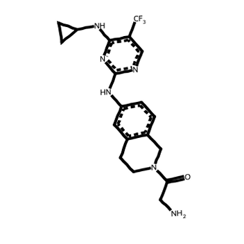 NCC(=O)N1CCc2cc(Nc3ncc(C(F)(F)F)c(NC4CC4)n3)ccc2C1